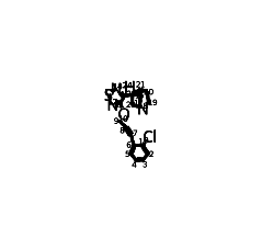 Clc1ccccc1C#CCOc1nsnc1[C@@H]1CN2CCC1CC2